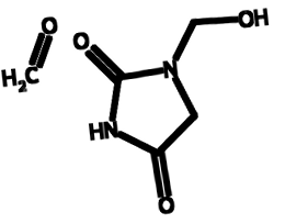 C=O.O=C1CN(CO)C(=O)N1